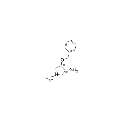 CN1C[C@@H](N)[C@H](OCc2ccccc2)C1